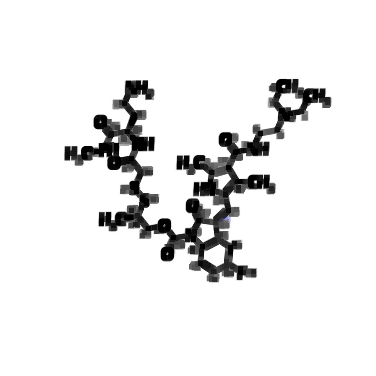 CCN(CC)CCNC(=O)c1c(C)[nH]c(/C=C2\C(=O)N(C(=O)OC[C@@H](C)SSCC(=O)N[C@H](CCN)C(=O)PC)c3ccc(F)cc32)c1C